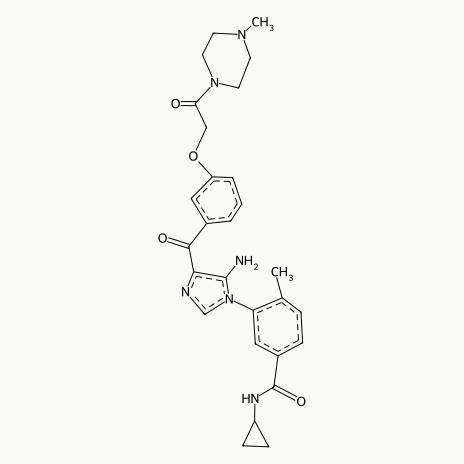 Cc1ccc(C(=O)NC2CC2)cc1-n1cnc(C(=O)c2cccc(OCC(=O)N3CCN(C)CC3)c2)c1N